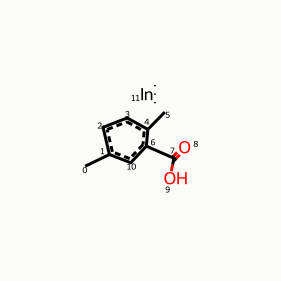 Cc1ccc(C)c(C(=O)O)c1.[In]